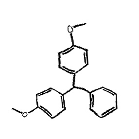 COc1ccc(C(c2ccccc2)c2ccc(OC)cc2)cc1